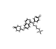 C[Si](C)(C)CCOCN(c1ccc(Cl)nc1)c1nccc2cc(OC3CCC(=O)CC3)ccc12